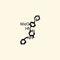 COc1cc(N2CCCCC2)ccc1Nc1cc(NCc2ccccc2)c(C)cn1